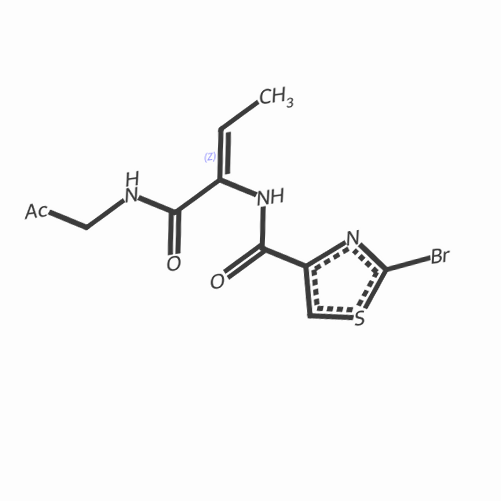 C/C=C(\NC(=O)c1csc(Br)n1)C(=O)NCC(C)=O